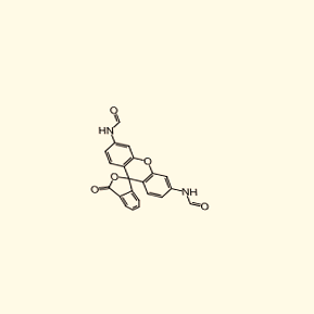 O=CNc1ccc2c(c1)Oc1cc(NC=O)ccc1C21OC(=O)c2ccccc21